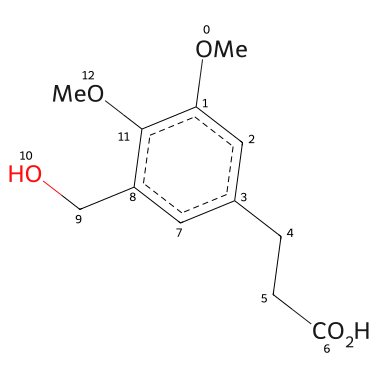 COc1cc(CCC(=O)O)cc(CO)c1OC